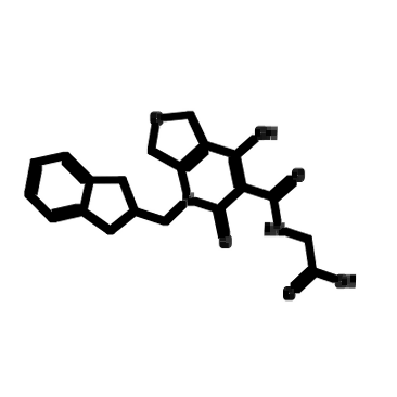 O=C(O)CNC(=O)c1c(O)c2c(n(CC3Cc4ccccc4C3)c1=O)COC2